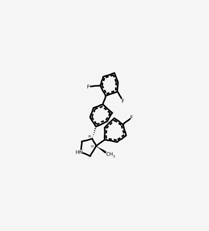 C[C@@]1(c2ccc(F)cc2)CNC[C@@H]1c1ccc(-c2c(F)cccc2F)cc1